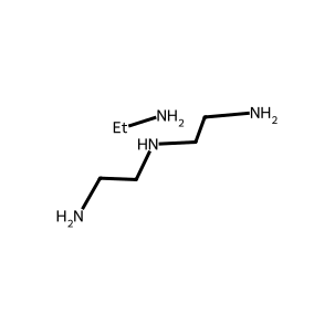 CCN.NCCNCCN